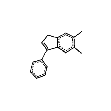 Cc1cc2c(cc1C)C(c1ccccc1)=C[CH]2